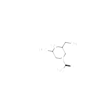 CCC1CN(C(=O)O)CC(C)N1